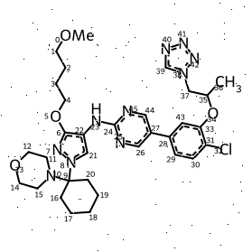 COCCCCOc1nn(C2(N3CCOCC3)CCCCC2)cc1Nc1ncc(-c2ccc(Cl)c(OC(C)Cn3cnnn3)c2)cn1